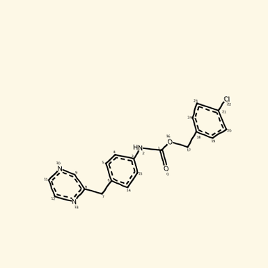 O=C(Nc1ccc(Cc2cnccn2)cc1)OCc1ccc(Cl)cc1